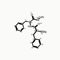 CCCNC(=O)[C@H](Cc1ccccc1)NC(=O)[C@H](Cc1ccccc1)NC